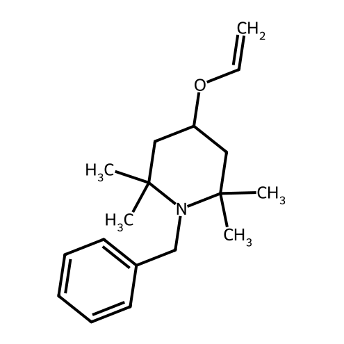 C=COC1CC(C)(C)N(Cc2ccccc2)C(C)(C)C1